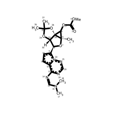 COC(=O)OC1[C@@]2(C)O[C@@H](c3ccc4c(/N=C\N(C)C)ncnn34)[C@@H]3OC(C)(C)O[C@@]132